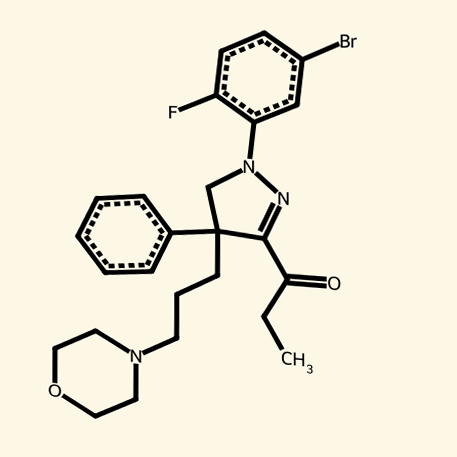 CCC(=O)C1=NN(c2cc(Br)ccc2F)CC1(CCCN1CCOCC1)c1ccccc1